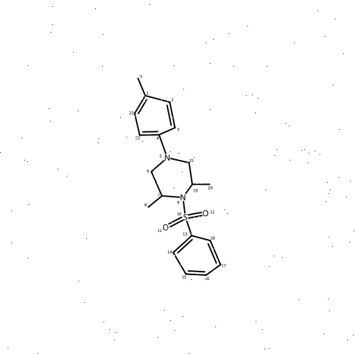 Cc1ccc(N2CC(C)N(S(=O)(=O)c3ccccc3)C(C)C2)cc1